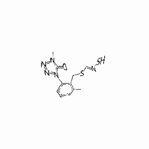 Cc1cccc(-n2nnn(C)c2=O)c1CSC=NS